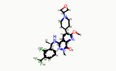 COc1nc2c(=O)n(C)nc(N[C@H](C)c3cccc(C(F)F)c3F)c2cc1C1CCN(C2COC2)CC1